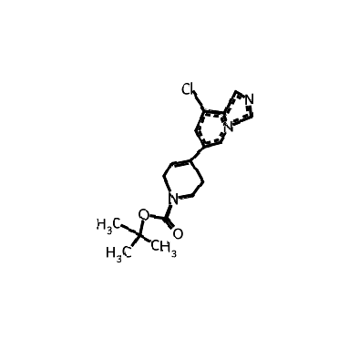 CC(C)(C)OC(=O)N1CC=C(c2cc(Cl)c3cncn3c2)CC1